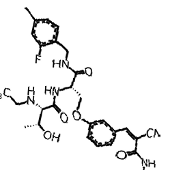 Cc1ccc(CNC(=O)[C@H](COc2cccc(C=C(C#N)C(=O)NC(C)(C)C)c2)NC(=O)[C@@H](NCC(F)(F)F)[C@@H](C)O)c(F)c1